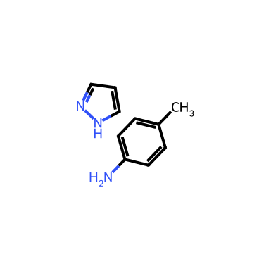 Cc1ccc(N)cc1.c1cn[nH]c1